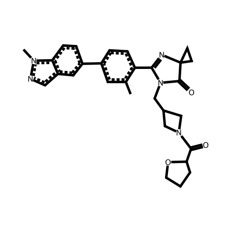 Cc1cc(-c2ccc3c(cnn3C)c2)ccc1C1=NC2(CC2)C(=O)N1CC1CN(C(=O)C2CCCO2)C1